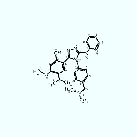 CC(C)c1cc(-c2nnc(Sc3ccccn3)n2-c2ccc(CN(C)C)cc2)c(O)cc1ON